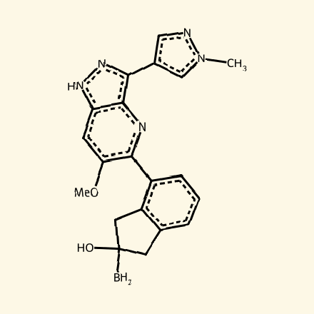 BC1(O)Cc2cccc(-c3nc4c(-c5cnn(C)c5)n[nH]c4cc3OC)c2C1